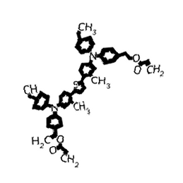 C=CC(=O)OCCc1ccc(N(c2ccc(CC)cc2)c2ccc(-c3ccc(-c4ccc(N(c5ccc(CC)cc5)c5ccc(C(=C)OC(=O)C=C)cc5)cc4C)s3)c(C)c2)cc1